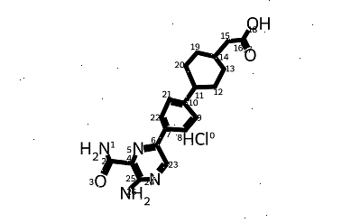 Cl.NC(=O)c1nc(-c2ccc(C3CCC(CC(=O)O)CC3)cc2)cnc1N